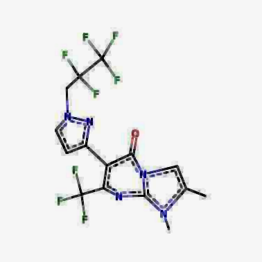 Cc1cn2c(=O)c(-c3ccn(CC(F)(F)C(F)(F)F)n3)c(C(F)(F)F)nc2n1C